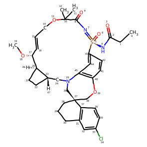 CCC(=O)N[S@]1(=O)=NC(=O)C(C)(C)OC/C=C/[C@@H](OC)[C@@H]2CC[C@H]2CN2C[C@@]3(CCCc4cc(Cl)ccc43)COc3ccc1cc32